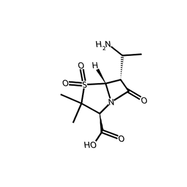 CC(N)[C@@H]1C(=O)N2[C@@H](C(=O)O)C(C)(C)S(=O)(=O)[C@H]12